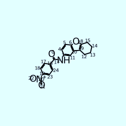 O=C(Nc1ccc2oc3c(c2c1)CCCC3)c1ccc([N+](=O)[O-])cc1